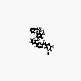 O=S(=O)(Cc1ccccn1)Nc1c(F)cc(Oc2ncccc2-c2ccnc(N[C@@H]3CNC[C@@H](F)C3)n2)c(F)c1F